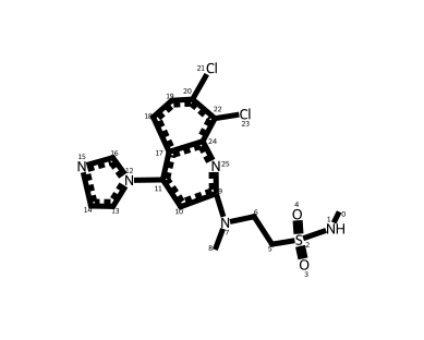 CNS(=O)(=O)CCN(C)c1cc(-n2ccnc2)c2ccc(Cl)c(Cl)c2n1